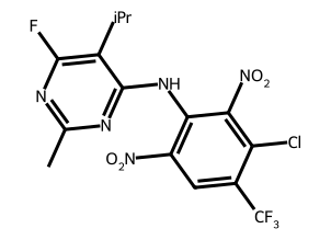 Cc1nc(F)c(C(C)C)c(Nc2c([N+](=O)[O-])cc(C(F)(F)F)c(Cl)c2[N+](=O)[O-])n1